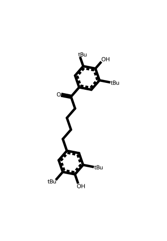 CC(C)(C)c1cc(CCCCC(=O)c2cc(C(C)(C)C)c(O)c(C(C)(C)C)c2)cc(C(C)(C)C)c1O